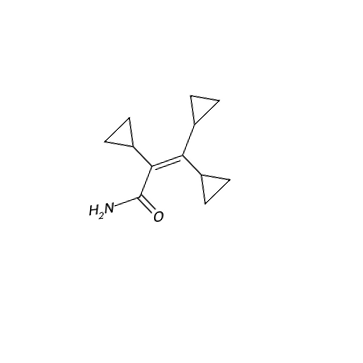 NC(=O)C(=C(C1CC1)C1CC1)C1CC1